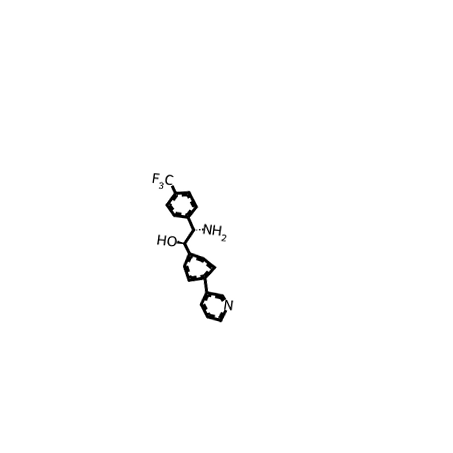 N[C@@H](c1ccc(C(F)(F)F)cc1)[C@H](O)c1ccc(-c2cccnc2)cc1